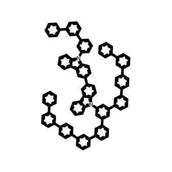 c1ccc(-c2cccc(-c3ccc(-c4cccc(-c5cccc(-c6cc(-c7cccc(-c8ccc(-c9cccc(-c%10ccccc%10)c9)cc8)c7)cc(-n7c8ccccc8c8cc(-c9ccc%10c(c9)c9ccccc9n%10-c9cccc(-c%10cccc(-c%11ccccc%11)c%10)c9)ccc87)c6)c5)c4)cc3)c2)cc1